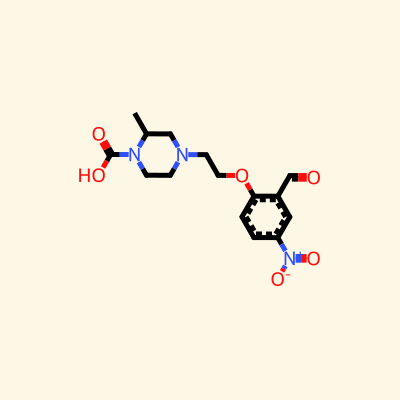 CC1CN(CCOc2ccc([N+](=O)[O-])cc2C=O)CCN1C(=O)O